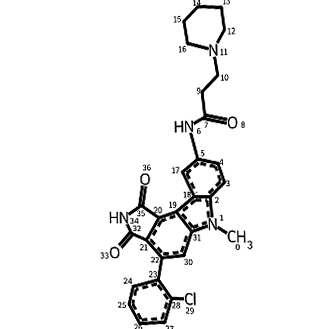 Cn1c2ccc(NC(=O)CCN3CCCCC3)cc2c2c3c(c(-c4ccccc4Cl)cc21)C(=O)NC3=O